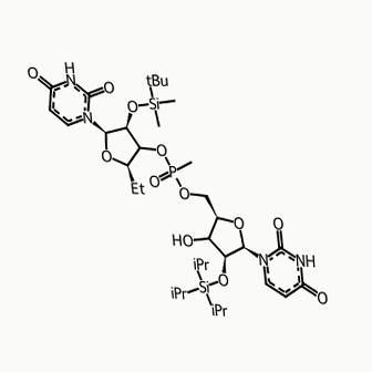 CC[C@H]1O[C@@H](n2ccc(=O)[nH]c2=O)[C@@H](O[Si](C)(C)C(C)(C)C)C1OP(C)(=O)OC[C@H]1O[C@@H](n2ccc(=O)[nH]c2=O)[C@@H](O[Si](C(C)C)(C(C)C)C(C)C)C1O